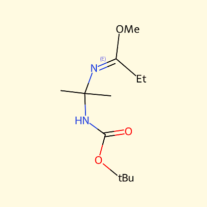 CC/C(=N\C(C)(C)NC(=O)OC(C)(C)C)OC